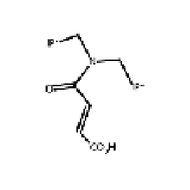 CC(C)CN(CC(C)C)C(=O)C=CC(=O)O